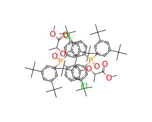 COC(=O)C(C)Oc1c(Cl)ccc(P(=O)(c2cc(C(C)(C)C)cc(C(C)(C)C)c2)c2cc(C(C)(C)C)cc(C(C)(C)C)c2)c1-c1c(P(=O)(c2cc(C(C)(C)C)cc(C(C)(C)C)c2)c2cc(C(C)(C)C)cc(C(C)(C)C)c2)ccc(Cl)c1OC(C)C(=O)OC